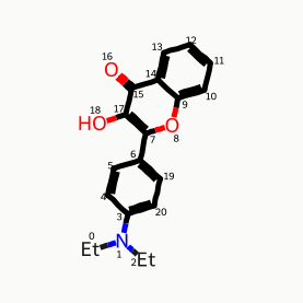 CCN(CC)c1ccc(-c2oc3ccccc3c(=O)c2O)cc1